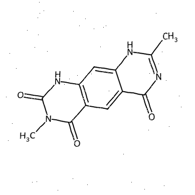 Cc1nc(=O)c2cc3c(=O)n(C)c(=O)[nH]c3cc2[nH]1